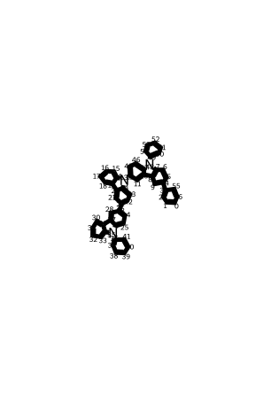 c1ccc(-c2ccc3c(c2)c2cc(-n4c5ccccc5c5cc(-c6ccc7c(c6)c6ccccc6n7-c6ccccc6)ccc54)ccc2n3-c2ccccc2)cc1